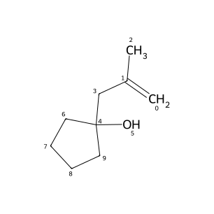 C=C(C)CC1(O)CCCC1